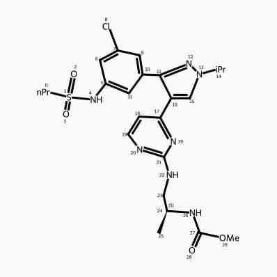 CCCS(=O)(=O)Nc1cc(Cl)cc(-c2nn(C(C)C)cc2-c2ccnc(NC[C@H](C)NC(=O)OC)n2)c1